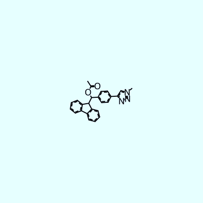 CC(=O)OC(c1ccc(-c2cn(C)nn2)cc1)C1c2ccccc2-c2ccccc21